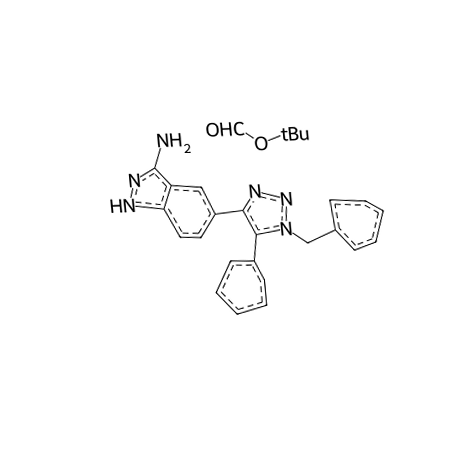 CC(C)(C)OC=O.Nc1n[nH]c2ccc(-c3nnn(Cc4ccccc4)c3-c3ccccc3)cc12